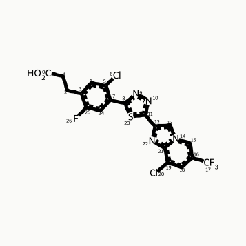 O=C(O)CCc1cc(Cl)c(-c2nnc(-c3cn4cc(C(F)(F)F)cc(Cl)c4n3)s2)cc1F